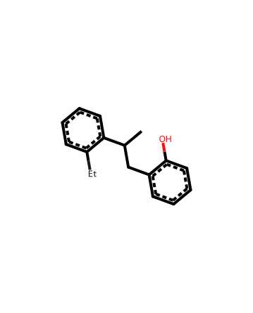 CCc1ccccc1C(C)Cc1ccccc1O